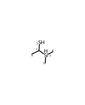 CC(S)[SiH](C)C